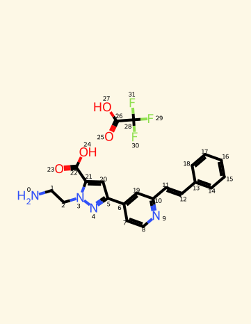 NCCn1nc(-c2ccnc(C=Cc3ccccc3)c2)cc1C(=O)O.O=C(O)C(F)(F)F